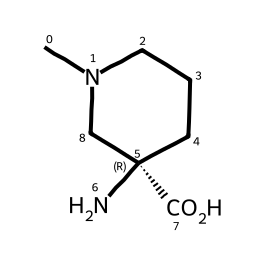 CN1CCC[C@](N)(C(=O)O)C1